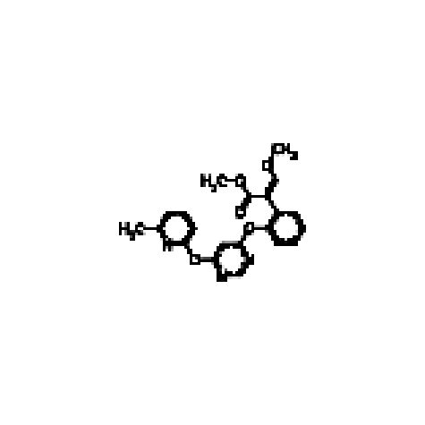 CO/C=C(\C(=O)OC)c1ccccc1Oc1cc(Oc2cccc(C)n2)ncn1